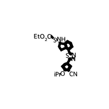 CCOC(=O)CSNC1CCc2c(-c3nnc(-c4ccc(OC(C)C)c(C#N)c4)s3)cccc21